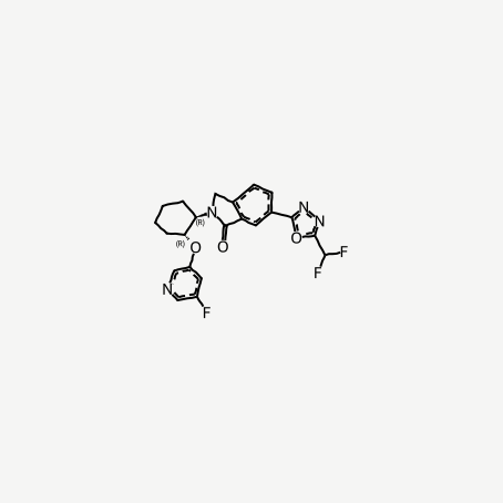 O=C1c2cc(-c3nnc(C(F)F)o3)ccc2CN1[C@@H]1CCCC[C@H]1Oc1cncc(F)c1